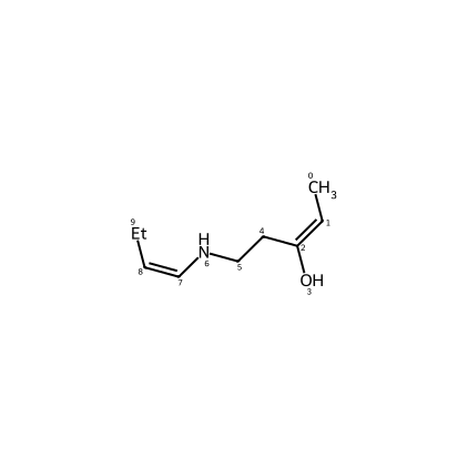 C/C=C(/O)CCN/C=C\CC